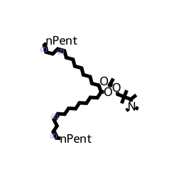 CCCCC/C=C\C/C=C\CCCCCCCC1OC(C)(OCC(C)(C)C(C)N(C)C)OC1CCCCCCC/C=C\C/C=C\CCCCC